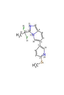 CSc1ccc(-c2ccc3cnc(C(C)(F)F)n3c2)cn1